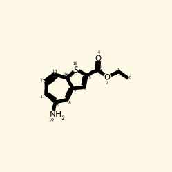 CCOC(=O)C1=CC2=CC(N)=CC#CC2S1